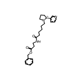 O=C(CCCCCN1CCC[C@H]1c1cccnc1)NCCC(=O)OCc1ccccc1